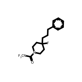 O=C(NC(F)(F)F)N1CCC(F)(CCCc2ccccc2)CC1